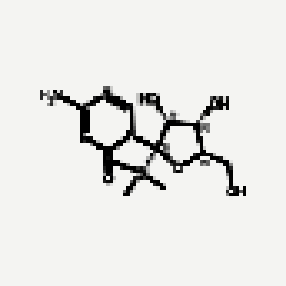 C[Si](C)(C)[C@@]1(n2cnc(N)nc2=O)O[C@H](CO)[C@@H](O)[C@H]1O